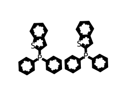 c1ccc(P(c2ccccc2)c2cc3ccccc3s2)cc1.c1ccc(P(c2ccccc2)c2cc3ccccc3s2)cc1